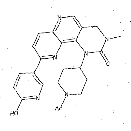 CC(=O)N1CCC(N2C(=O)N(C)Cc3cnc4ccc(-c5ccc(O)nc5)nc4c32)CC1